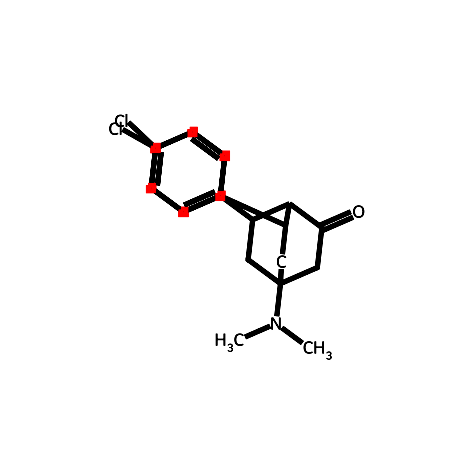 CN(C)C12CC(=O)C(C(c3ccc(Cl)cc3)C1)C(c1ccc(Cl)cc1)C2